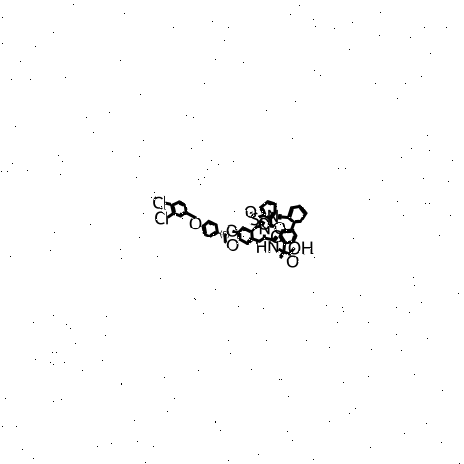 CC(NC(=O)C1Cc2cc3c(cc2CN1C(=O)c1ccccc1S(C)(=O)=O)O[C@@H](c1ccc(OCc2ccc(Cl)c(Cl)c2)cc1)CO3)(C(=O)O)c1ccc(-c2ccccc2C#N)cc1